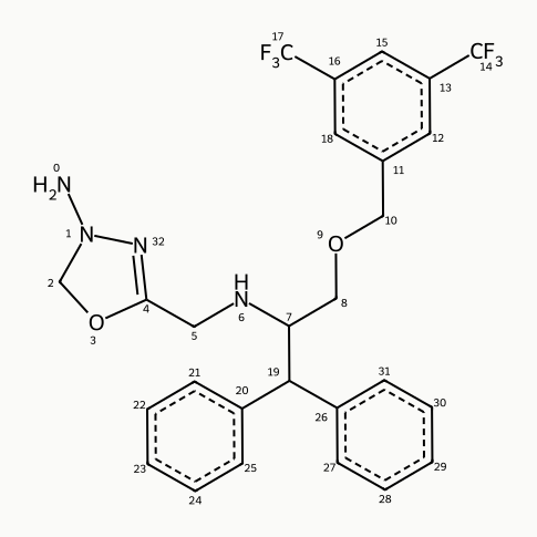 NN1COC(CNC(COCc2cc(C(F)(F)F)cc(C(F)(F)F)c2)C(c2ccccc2)c2ccccc2)=N1